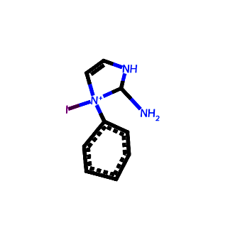 NC1NC=C[N+]1(I)c1ccccc1